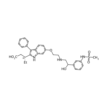 CC[C@H](CC(=O)O)c1[nH]c2cc(OCCNCC(O)c3cccc(NS(C)(=O)=O)c3)ccc2c1-c1ccccc1